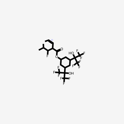 C/C=C\C(C(=O)OC1CC(C(O)(C(F)(F)F)C(F)(F)F)CC(C(O)(C(F)(F)F)C(F)(F)F)C1)C(F)C(C)C